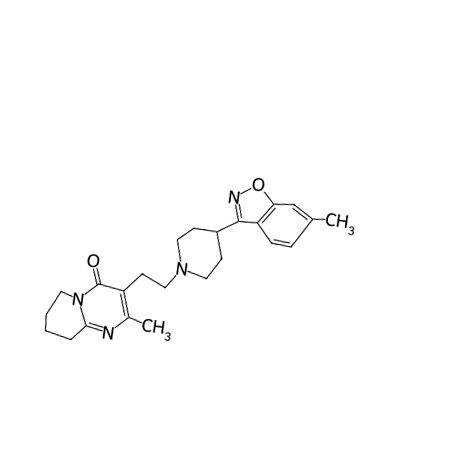 Cc1ccc2c(C3CCN(CCc4c(C)nc5n(c4=O)CCCC5)CC3)noc2c1